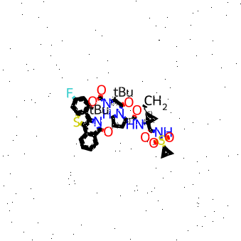 C=C[C@@H]1C[C@]1(NC(=O)[C@@H]1C[C@@H](Oc2nc3c4ccc(F)cc4sc3c3ccccc23)CN1C(=O)[C@@H](NC(=O)OC(C)(C)C)C(C)(C)C)C(=O)NS(=O)(=O)C1CC1